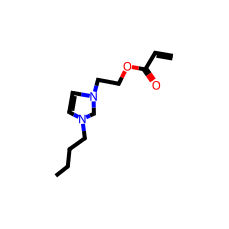 C=CC(=O)OCCN1C=CN(CCCC)C1